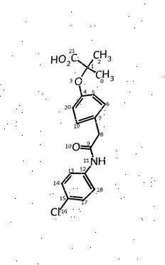 CC(C)(Oc1ccc(CC(=O)Nc2ccc(Cl)cc2)cc1)C(=O)O